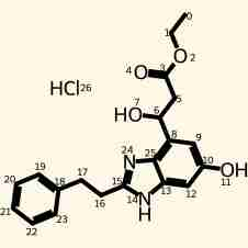 CCOC(=O)CC(O)c1cc(O)cc2[nH]c(CCc3ccccc3)nc12.Cl